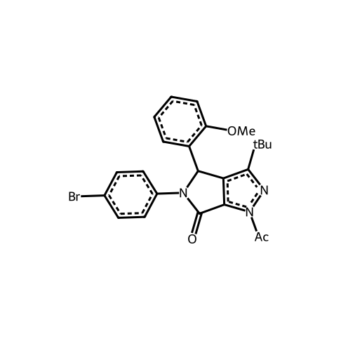 COc1ccccc1C1c2c(C(C)(C)C)nn(C(C)=O)c2C(=O)N1c1ccc(Br)cc1